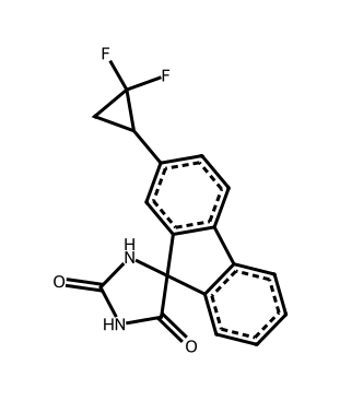 O=C1NC(=O)C2(N1)c1ccccc1-c1ccc(C3CC3(F)F)cc12